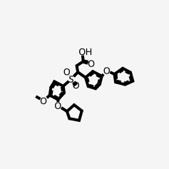 COc1ccc(S(=O)(=O)C(CC(=O)O)c2cccc(Oc3ccccc3)c2)cc1OC1CCCC1